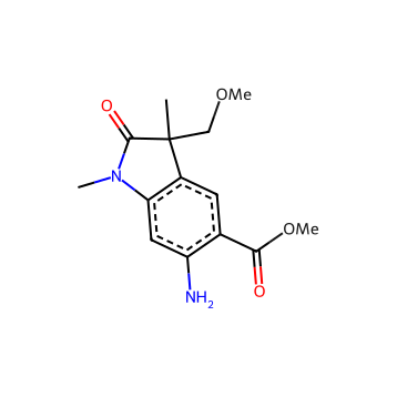 COCC1(C)C(=O)N(C)c2cc(N)c(C(=O)OC)cc21